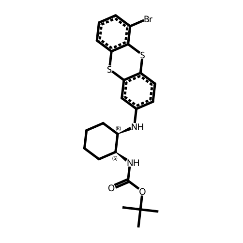 CC(C)(C)OC(=O)N[C@H]1CCCC[C@H]1Nc1ccc2c(c1)Sc1cccc(Br)c1S2